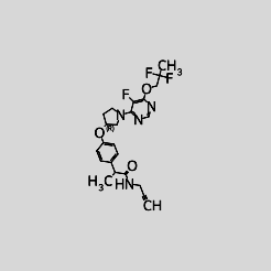 C#CCNC(=O)C(C)c1ccc(O[C@@H]2CCN(c3ncnc(OCC(C)(F)F)c3F)C2)cc1